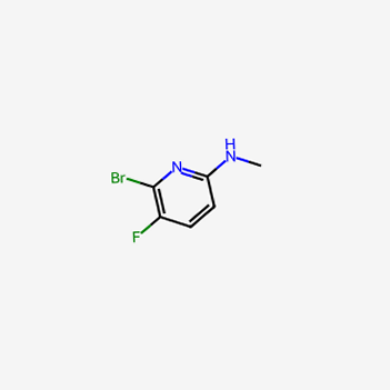 CNc1ccc(F)c(Br)n1